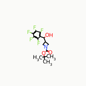 CC(C)(C)OC(=O)N1CC(C(O)c2c(F)c(F)c(F)c(F)c2F)C1